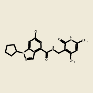 Cc1cc(C)c(CNC(=O)c2cc(Cl)cc3c2cnn3C2CCCC2)c(=O)[nH]1